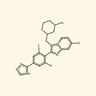 CC(=O)N1CCOC(Cc2c(-c3c(F)cc(-c4nnc[nH]4)cc3F)nc3cc(Cl)ccn23)C1